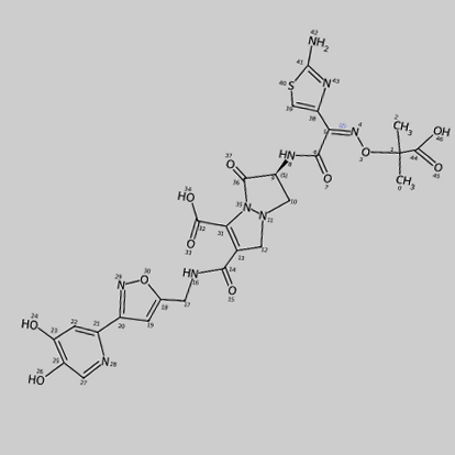 CC(C)(O/N=C(\C(=O)N[C@H]1CN2CC(C(=O)NCc3cc(-c4cc(O)c(O)cn4)no3)=C(C(=O)O)N2C1=O)c1csc(N)n1)C(=O)O